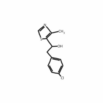 Cc1ncsc1C(O)Cc1ccc(Cl)cc1